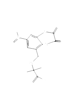 CC(C)(NCc1cc([N+](=O)[O-])cc2[nH]c(=O)c(=O)[nH]c12)C(=O)O